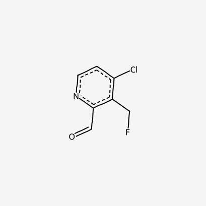 O=Cc1nccc(Cl)c1CF